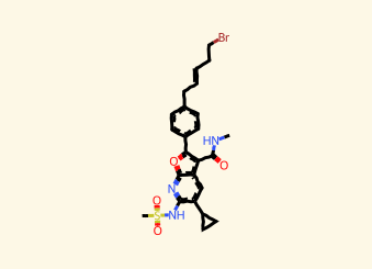 CNC(=O)c1c(-c2ccc(C/C=C/CCBr)cc2)oc2nc(NS(C)(=O)=O)c(C3CC3)cc12